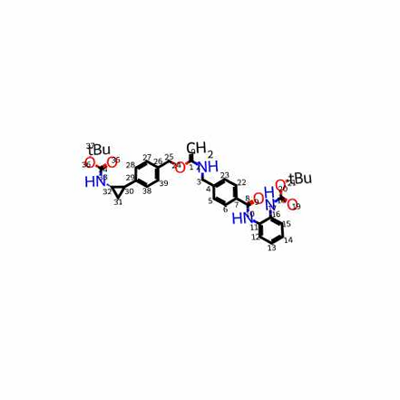 C=C(NCc1ccc(C(=O)Nc2ccccc2NC(=O)OC(C)(C)C)cc1)OCc1ccc(C2C[C@@H]2NC(=O)OC(C)(C)C)cc1